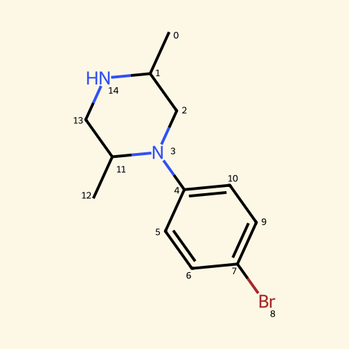 CC1CN(c2ccc(Br)cc2)C(C)CN1